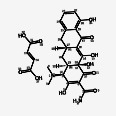 CN(C)[C@@H]1C(O)=C(C(N)=O)C(=O)[C@@]2(O)C(O)=C3C(=O)c4c(O)cccc4C[C@H]3C[C@H]12.O=C(O)C=CC(=O)O